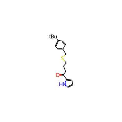 CC(C)(C)c1ccc(CSCCCC(=O)c2ccc[nH]2)cc1